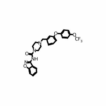 O=C(Nc1noc2ccccc12)N1CCN(Cc2cccc(Oc3ccc(OC(F)(F)F)cc3)c2)CC1